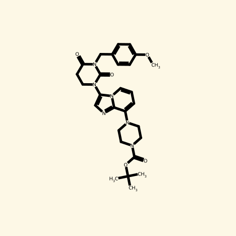 COc1ccc(CN2C(=O)CCN(c3cnc4c(N5CCN(C(=O)OC(C)(C)C)CC5)cccn34)C2=O)cc1